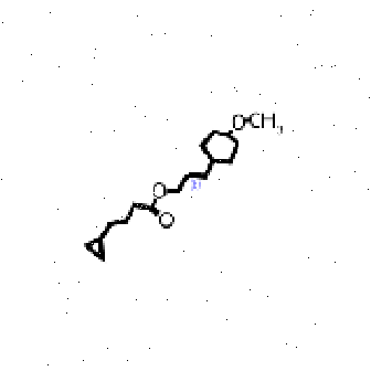 COC1CCC(/C=C/COC(=O)CCCC2CC2)CC1